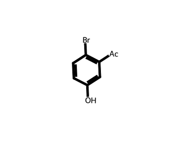 CC(=O)c1cc(O)ccc1Br